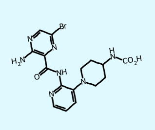 Nc1ncc(Br)nc1C(=O)Nc1ncccc1N1CCC(NC(=O)O)CC1